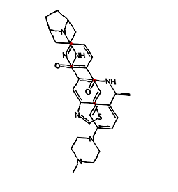 C[C@H](NC(=O)c1ccc(N2C3CCC2CC(NC(=O)c2ccc4scnc4c2)C3)nc1)c1ccc(N2CCN(C)CC2)cc1